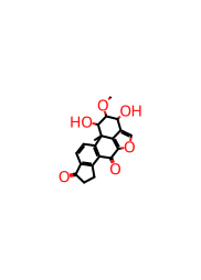 COC1C(O)c2coc3c2C(C)(c2ccc4c(c2C3=O)CCC4=O)C1O